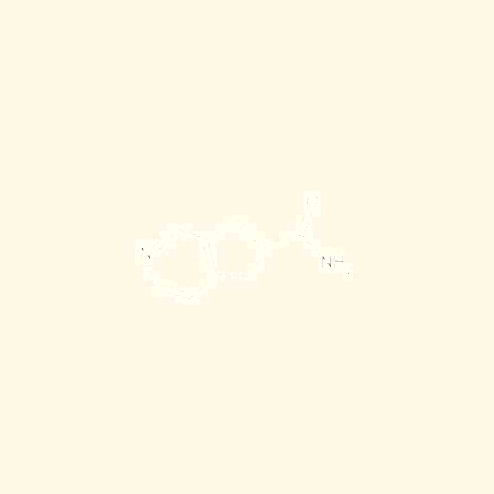 NC(=O)C1=Cc2cnccc2C1